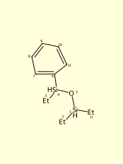 CC[SiH](CC)O[SiH](CC)c1ccccc1